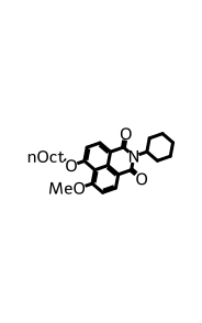 CCCCCCCCOc1ccc2c3c(ccc(OC)c13)C(=O)N(C1CCCCC1)C2=O